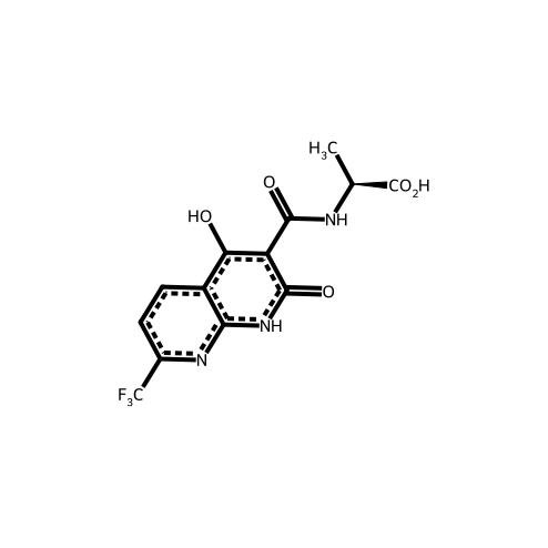 C[C@H](NC(=O)c1c(O)c2ccc(C(F)(F)F)nc2[nH]c1=O)C(=O)O